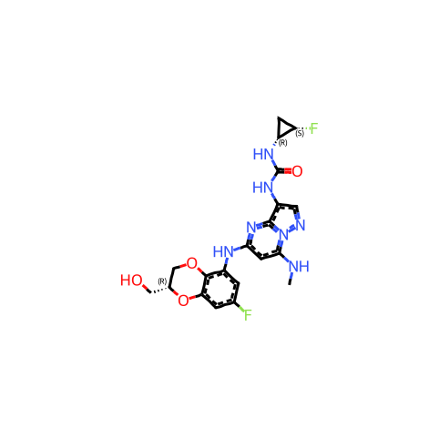 CNc1cc(Nc2cc(F)cc3c2OC[C@@H](CO)O3)nc2c(NC(=O)N[C@@H]3C[C@@H]3F)cnn12